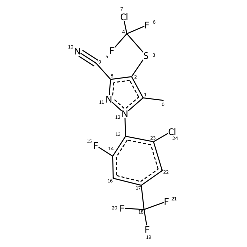 Cc1c(SC(F)(F)Cl)c(C#N)nn1-c1c(F)cc(C(F)(F)F)cc1Cl